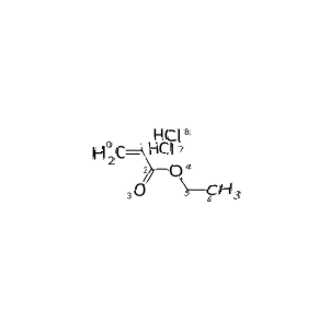 C=CC(=O)OCC.Cl.Cl